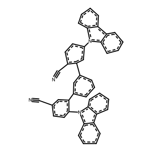 N#Cc1ccc(-n2c3ccccc3c3ccccc32)c(-c2cccc(-c3cc(-n4c5ccccc5c5ccccc54)ccc3C#N)c2)c1